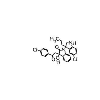 CCCC1(N2C(=O)C(O)(CC(=O)c3ccc(Cl)cc3)c3ccccc32)CNc2ccc(Cl)cc21